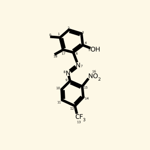 Cc1ccc(O)c(N=Nc2ccc(C(F)(F)F)cc2[N+](=O)[O-])c1C